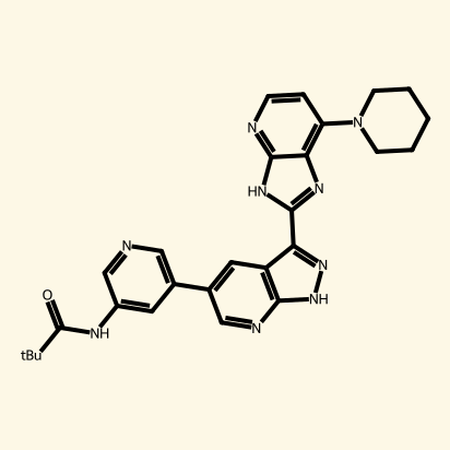 CC(C)(C)C(=O)Nc1cncc(-c2cnc3[nH]nc(-c4nc5c(N6CCCCC6)ccnc5[nH]4)c3c2)c1